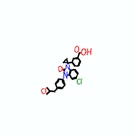 O=C(O)c1cccc(C2(n3c(=O)n(-c4ccc(CC5COC5)cc4)c4cc(Cl)ccc43)CC2)c1